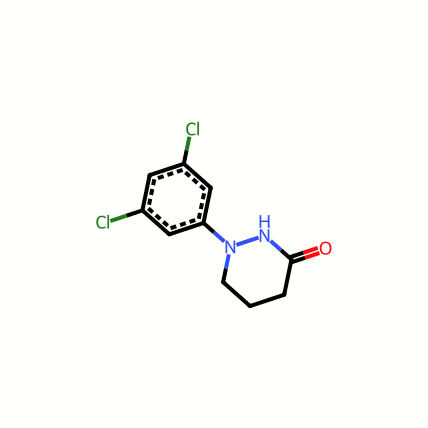 O=C1CCCN(c2cc(Cl)cc(Cl)c2)N1